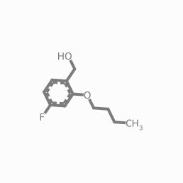 CCCCOc1cc(F)ccc1CO